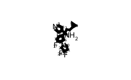 NC(CCC1CC1)(c1ccncc1)c1ccc(F)c(N2CCC(F)(F)C2)c1